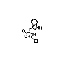 O=C(O)[C@H](Cc1c[nH]c2ccccc12)NCC1CCC1